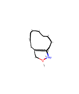 C1CCCC2=C(CC1)CON2